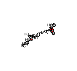 Cc1ncsc1-c1ccc(CNC(=O)C2C[C@@H](O)CN2C(=O)[C@@H](NC(=O)CN2CCN(CCOCCOCCCc3cc(N4C5CCC4CN(c4cc(-c6ccccc6O)nnc4N)C5)ccn3)CC2)C(C)(C)C)cc1